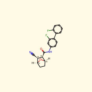 N#C[C@H]1[C@@H](C(=O)Nc2ccc(-c3ccccc3F)c(F)c2)[C@H]2CC[C@@H]1O2